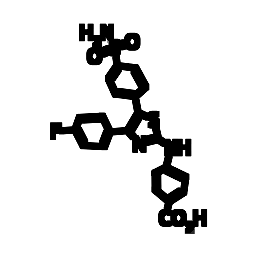 NS(=O)(=O)c1ccc(-c2sc(Nc3ccc(C(=O)O)cc3)nc2-c2ccc(F)cc2)cc1